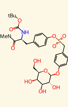 CNC(=O)[C@H](Cc1ccc(OS(=O)(=O)Cc2ccc(O[C@@H]3O[C@H](CO)[C@H](O)[C@H](O)[C@H]3O)cc2)cc1)NC(=O)OC(C)(C)C